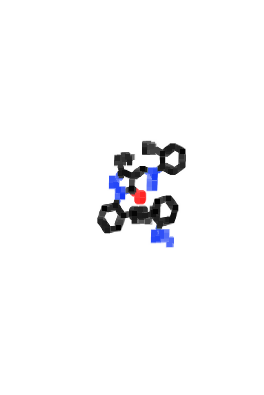 CCCC1=NN(c2ccccc2C(=O)O)C(=O)C1=CNc1ccccc1CC.CCc1ccccc1N